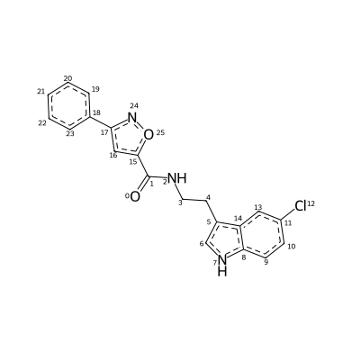 O=C(NCCc1c[nH]c2ccc(Cl)cc12)c1cc(-c2ccccc2)no1